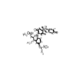 CNCCN(C)c1cc(OC)ccc1Nc1cc(F)c(S(=O)(=O)Nc2ncc(F)cn2)cc1Cl.Cl